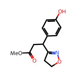 COC(=O)CC(C1=NOCC1)c1ccc(O)cc1